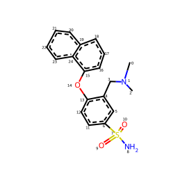 CN(C)Cc1cc(S(N)(=O)=O)ccc1Oc1cccc2ccccc12